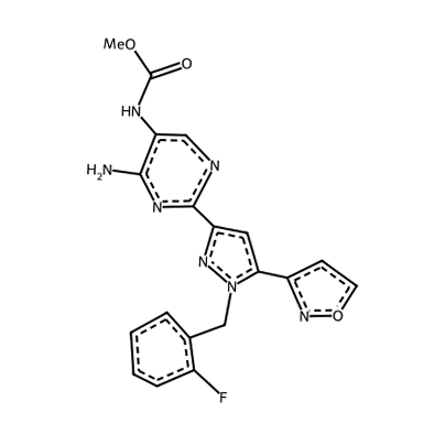 COC(=O)Nc1cnc(-c2cc(-c3ccon3)n(Cc3ccccc3F)n2)nc1N